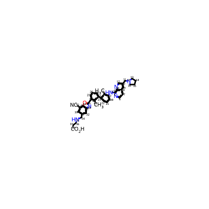 Cc1c(Nc2nccc3cc(CN4CCCC4)cnc23)cccc1-c1cccc(-c2nc3cc(CNCCC(=O)O)cc(C#N)c3o2)c1C